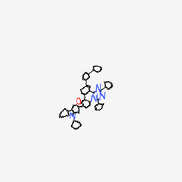 c1ccc(-c2cccc(-c3ccc(-c4cccc5c4oc4cc6c7ccccc7n(-c7ccccc7)c6cc45)c(-c4nc(-c5ccccc5)nc(-c5ccccc5)n4)c3)c2)cc1